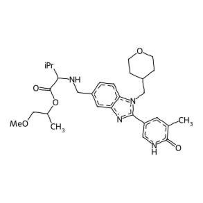 COCC(C)OC(=O)C(NCc1ccc2c(c1)nc(-c1c[nH]c(=O)c(C)c1)n2CC1CCOCC1)C(C)C